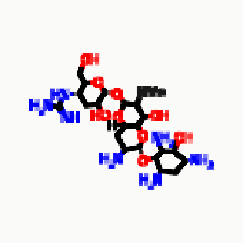 CNC1C(O[C@H]2OC(CO)[C@@H](NC(=N)N)CC2O)O[C@H]2CC(N)[C@@H](O[C@@H]3C(N)C[C@@H](N)C(O)C3N)OC2C1O